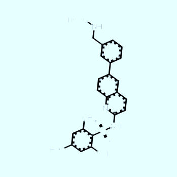 Cc1cc(C)c(S(=O)(=O)Nc2ccc3cc(-c4cccc(CNC(=O)O)c4)ccc3n2)c(C)c1